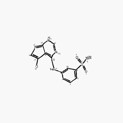 CNS(=O)(=O)c1cccc(Nc2nc[nH]c3ncc(Cl)c2-3)c1